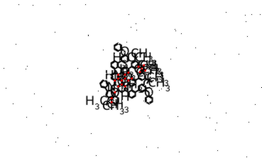 CC(C)(C)c1cc(-c2cc3c(c(-c4c(-c5cccc(Oc6ccccc6)c5)cccc4-c4cccc(Oc5ccccc5)c4)c2)Nc2cc(-n4c5ccccc5c5cc(C(C)(C)C)ccc54)cc4c2B3c2cc(-c3cc(C(C)(C)C)cc(C(C)(C)C)c3)cc(-c3c(-c5cccc(Oc6ccccc6)c5)cccc3-c3cccc(Oc5ccccc5)c3)c2N4)cc(C(C)(C)C)c1